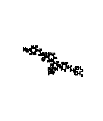 CN(C)CCN1CCN(c2cc(N3CCCC(C(=O)NCCc4ccc(C#N)cc4)C3)nc(C(F)(F)F)n2)CC1